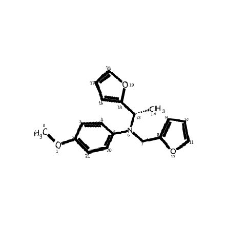 COc1ccc(N(Cc2ccco2)[C@@H](C)c2ccco2)cc1